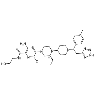 CC[C@H]1CN(c2nc(N)c(C(=O)NCCO)nc2Cl)CCN1C1CCN(C(Cc2nn[nH]n2)c2ccc(C)cc2)CC1